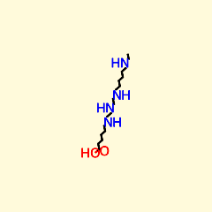 CCNCCCCCCNCCNCCNCCCCCC(=O)O